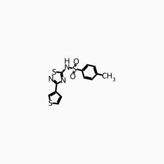 Cc1ccc(S(=O)(=O)Nc2nc(-c3ccsc3)ns2)cc1